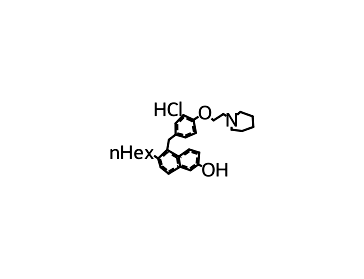 CCCCCCc1ccc2cc(O)ccc2c1Cc1ccc(OCCN2CCCCC2)cc1.Cl